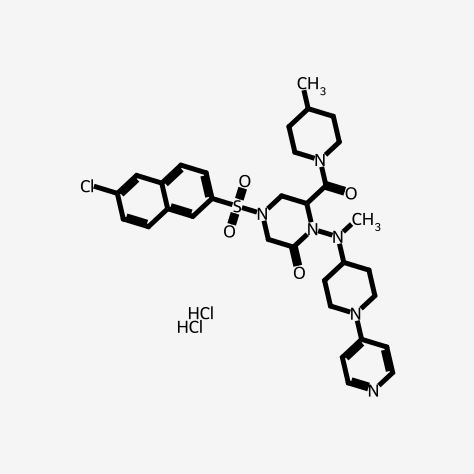 CC1CCN(C(=O)C2CN(S(=O)(=O)c3ccc4cc(Cl)ccc4c3)CC(=O)N2N(C)C2CCN(c3ccncc3)CC2)CC1.Cl.Cl